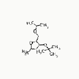 BC1CC(OC(C)(C)C)C(COC(C)C)O1